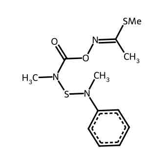 CSC(C)=NOC(=O)N(C)SN(C)c1ccccc1